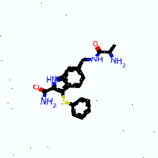 CC(N)C(=O)NCc1ccc2c(Sc3ccccc3)c(C(N)=O)[nH]c2c1